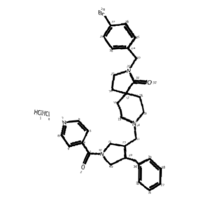 Cl.Cl.O=C(c1ccncc1)N1CC(CN2CCC3(CC2)CCN(Cc2ccc(Br)cc2)C3=O)C(c2ccccc2)C1